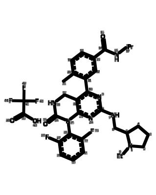 CCN1CCCC1CNc1nc(-c2cc(C(=O)NC(C)C)ccc2C)c2c(n1)N(c1c(F)cccc1F)C(=O)NC2.O=C(O)C(F)(F)F